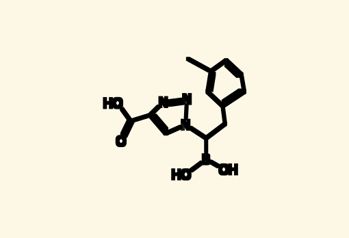 Cc1cccc(CC(B(O)O)n2cc(C(=O)O)nn2)c1